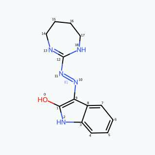 Oc1[nH]c2ccccc2c1/N=N/C1=NCCCCN1